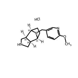 COc1ccc(CN2[C@@H]3CC[C@H]2[C@H]2CNC[C@H]23)cn1.Cl